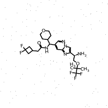 CC(C)(OC[C@H](N)c1cn2ncc(C(NC(=O)CC3CC(F)(F)C3)C3CCOCC3)cc2n1)C(F)(F)F